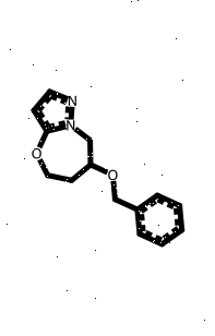 c1ccc(COC2CCOc3ccnn3C2)cc1